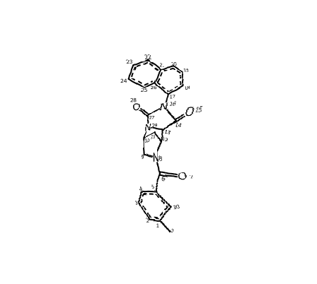 Cc1cccc(C(=O)N2CC3CC2C2C(=O)N(c4cccc5ccccc45)C(=O)N32)c1